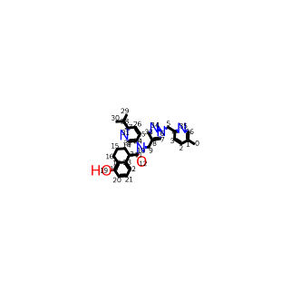 Cc1ccc(Cn2cc(CN(C(=O)C3CCCc4c(O)cccc43)c3ccc(C(C)C)nc3)cn2)nc1